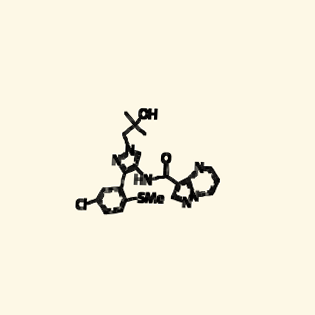 CSc1ccc(Cl)cc1-c1nn(CC(C)(C)O)cc1NC(=O)c1cnn2cccnc12